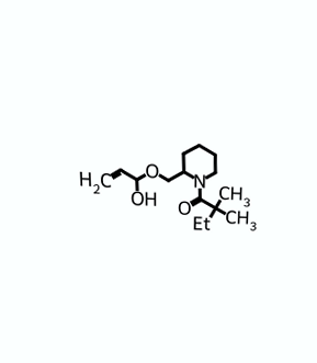 C=CC(O)OCC1CCCCN1C(=O)C(C)(C)CC